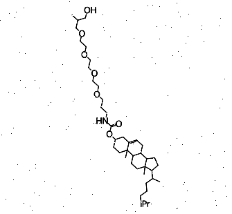 CC(C)CCCC(C)C1CCC2C3CC=C4CC(OC(=O)NCCCOCCOCCOCCOCC(C)CO)CCC4(C)C3CCC12C